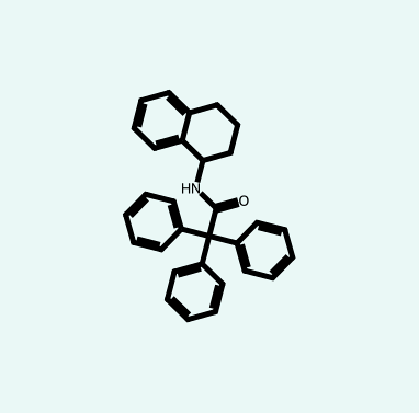 O=C(NC1CCCc2ccccc21)C(c1ccccc1)(c1ccccc1)c1ccccc1